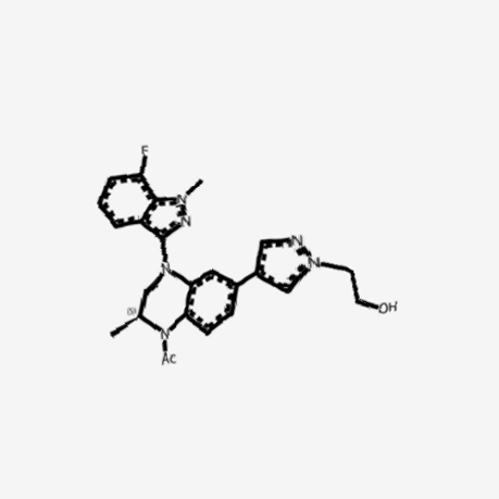 CC(=O)N1c2ccc(-c3cnn(CCO)c3)cc2N(c2nn(C)c3c(F)cccc23)C[C@@H]1C